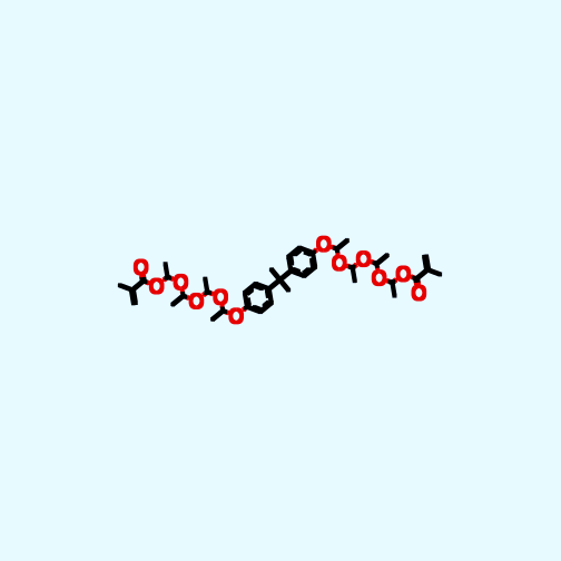 C=C(C)C(=O)OC(C)OC(C)OC(C)OC(C)Oc1ccc(C(C)(C)c2ccc(OC(C)OC(C)OC(C)OC(C)OC(=O)C(=C)C)cc2)cc1